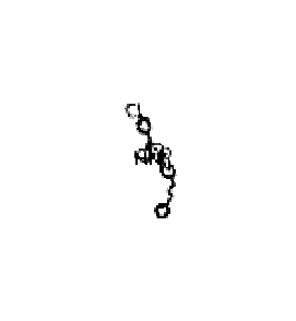 O=C(NS(=O)(=O)C=Cc1ccc(Cl)cc1)N1CCC(CCCc2ccccc2)CC1